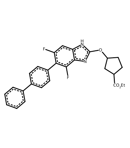 CCOC(=O)C1CCC(Oc2nc3c(F)c(-c4ccc(-c5ccccc5)cc4)c(F)cc3[nH]2)C1